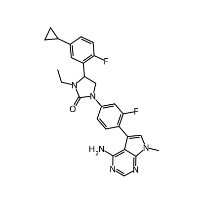 CCN1C(=O)N(c2ccc(-c3cn(C)c4ncnc(N)c34)c(F)c2)CC1c1cc(C2CC2)ccc1F